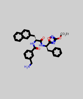 CCOC(=O)Oc1noc([C@@H](Cc2ccccc2)NC(=O)[C@@H](Cc2ccc3ccccc3c2)NC(=O)c2cccc(CN)c2)n1